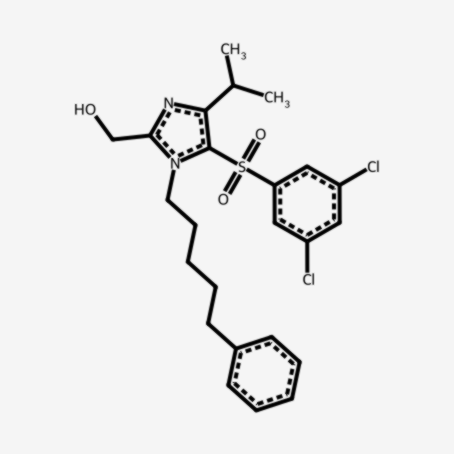 CC(C)c1nc(CO)n(CCCCCc2ccccc2)c1S(=O)(=O)c1cc(Cl)cc(Cl)c1